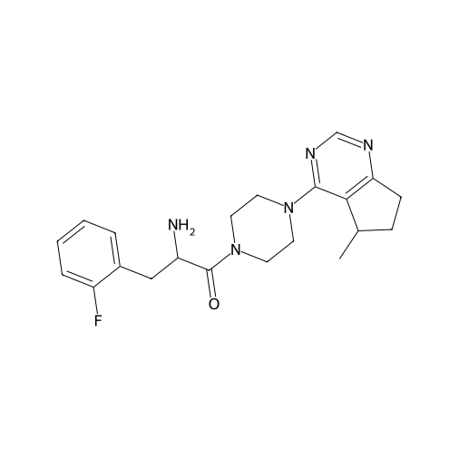 CC1CCc2ncnc(N3CCN(C(=O)C(N)Cc4ccccc4F)CC3)c21